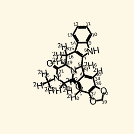 [2H]c1c([2H])c([C@]2([2H])c3[nH]c4ccccc4c3C([2H])([2H])[C@]3([2H])C(=O)N(C([2H])([2H])[2H])C([2H])([2H])C(=O)N23)c([2H])c2c1OCO2